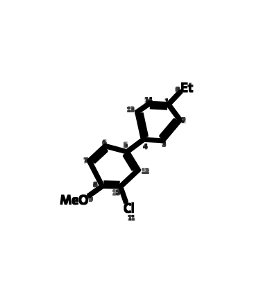 CCc1ccc(-c2ccc(OC)c(Cl)c2)cc1